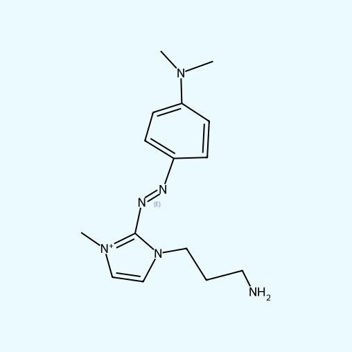 CN(C)c1ccc(/N=N/c2n(CCCN)cc[n+]2C)cc1